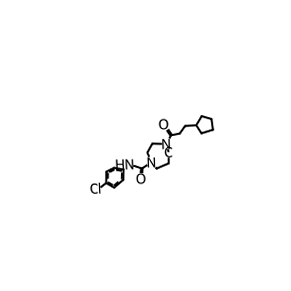 O=C(CCC1CCCC1)N1CCCN(C(=O)Nc2ccc(Cl)cc2)CC1